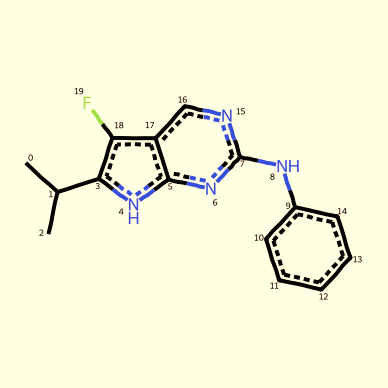 CC(C)c1[nH]c2nc(Nc3ccccc3)ncc2c1F